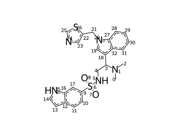 CN(C)C(CNS(=O)(=O)c1ccc2cc[nH]c2c1)c1cn(Cc2cncs2)c2ccccc12